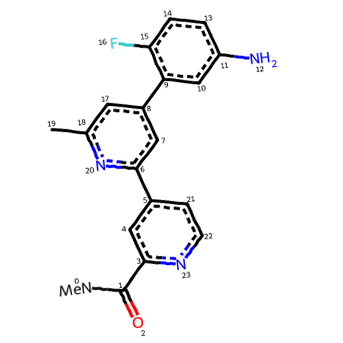 CNC(=O)c1cc(-c2cc(-c3cc(N)ccc3F)cc(C)n2)ccn1